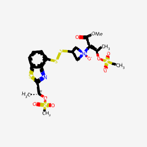 COC(=O)C(=C(C)OS(C)(=O)=O)[N+]1([O-])CC(SSc2cccc3sc([C@@H](C)OS(C)(=O)=O)nc23)C1